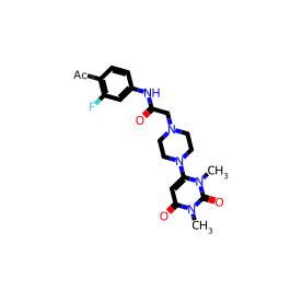 CC(=O)c1ccc(NC(=O)CN2CCN(c3cc(=O)n(C)c(=O)n3C)CC2)cc1F